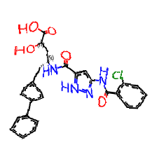 O=C(N[C@H](Cc1ccc(-c2ccccc2)cc1)C[C@@H](O)C(=O)O)c1cc(NC(=O)c2ccccc2Cl)n[nH]1